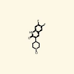 O=c1[nH]c2cc(F)c(F)cc2cc1C1CCN(Cl)CC1